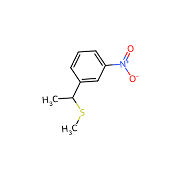 CSC(C)c1cccc([N+](=O)[O-])c1